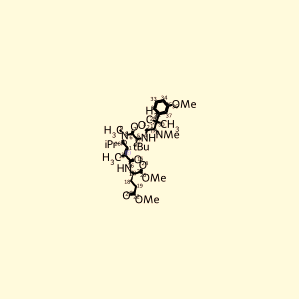 CN[C@H](C(=O)N[C@H](C(=O)N(C)[C@H](/C=C(\C)C(=O)N[C@H](CCC(=O)OC)C(=O)OC)C(C)C)C(C)(C)C)C(C)(C)c1cccc(OC)c1